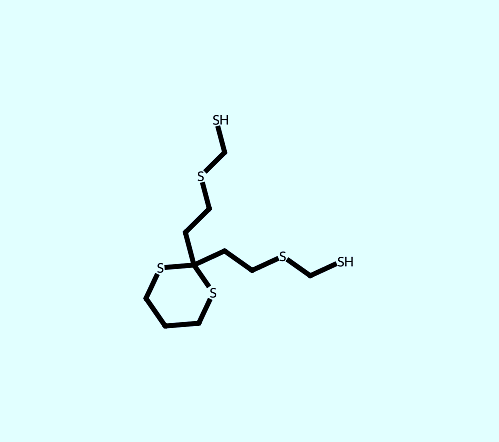 SCSCCC1(CCSCS)SCCCS1